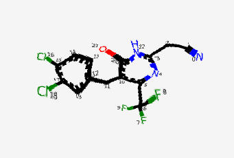 N#CCc1nc(C(F)(F)F)c(Cc2ccc(Cl)c(Cl)c2)c(=O)[nH]1